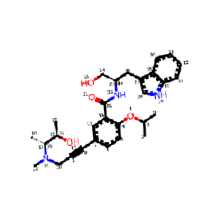 CC(C)Oc1ccc(C#CCN(C)[C@H](C)[C@@H](C)O)cc1C(=O)N[C@@H](CO)Cc1c[nH]c2ccccc12